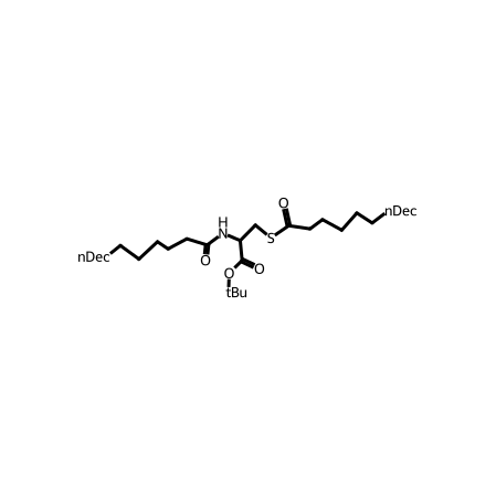 CCCCCCCCCCCCCCCC(=O)NC(CSC(=O)CCCCCCCCCCCCCCC)C(=O)OC(C)(C)C